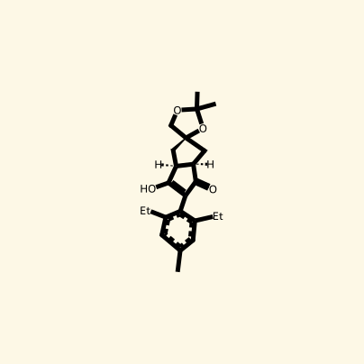 CCc1cc(C)cc(CC)c1C1=C(O)[C@H]2C[C@]3(COC(C)(C)O3)C[C@H]2C1=O